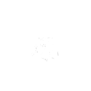 CCC(Nc1c([N+](=O)[O-])cnc2ccccc12)C1(O)CCCCC1